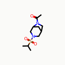 CC(=O)N1CC2CC1CN(S(=O)(=O)C(C)C)C2